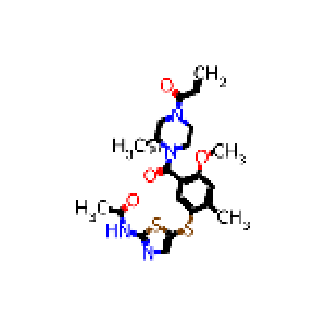 C=CC(=O)N1CCN(C(=O)c2cc(Sc3cnc(NC(C)=O)s3)c(C)cc2OC)[C@@H](C)C1